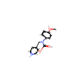 COc1ccc(N(Cc2ccncc2)C(=O)O)cc1